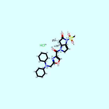 CC(C)[C@@H]1C(=O)N(S(C)(=O)=O)C2=CCN(C(=O)c3coc(CN(C4CCCCC4)C4CCCCC4)n3)[C@H]21.Cl